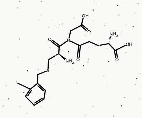 N[C@@H](CCC(=O)N(CC(=O)O)C(=O)[C@@H](N)CSCc1ccccc1I)C(=O)O